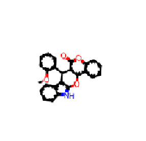 COc1ccccc1C1c2c(c3ccccc3oc2=O)Oc2[nH]c3ccccc3c21